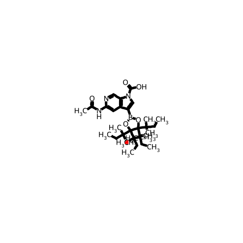 CCC(C)(C)C1(C(C)(C)CC)OB(c2cn(C(=O)O)c3cnc(NC(C)=O)cc23)OC1(C(C)(C)CC)C(C)(C)CC